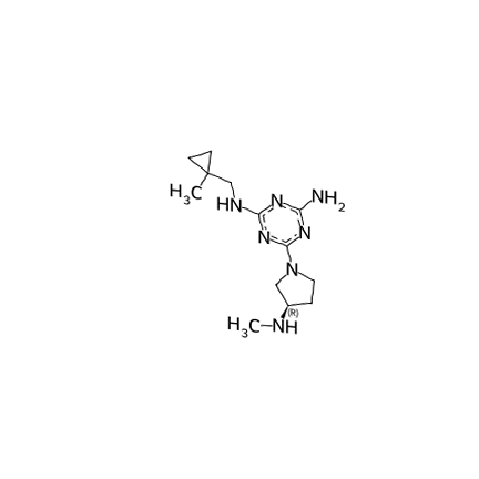 CN[C@@H]1CCN(c2nc(N)nc(NCC3(C)CC3)n2)C1